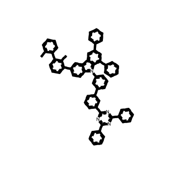 Cc1ccccc1-c1cccc(-c2ccc3c(c2)c2cc(-c4ccccc4)cc(-c4ccccc4)c2n3-c2cccc(-c3cccc(-c4nc(-c5ccccc5)nc(-c5ccccc5)n4)c3)c2)c1C